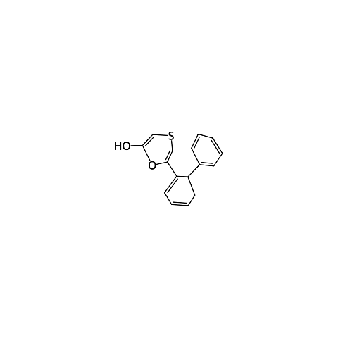 OC1=CSC=C(C2=CC=CCC2c2ccccc2)O1